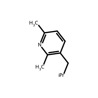 Cc1ccc(CC(C)C)c(C)n1